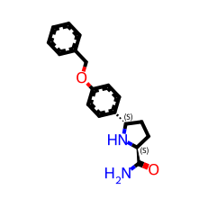 NC(=O)[C@@H]1CC[C@@H](c2ccc(OCc3ccccc3)cc2)N1